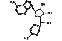 Cc1ccc(C(O)[C@H]2O[C@@H](n3ccc4c(C)ncnc43)[C@H](O)[C@@H]2O)cn1